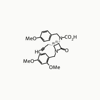 C#CC[C@@H]1[C@H](N(Cc2ccc(OC)cc2)C(=O)O)C(=O)N1Cc1ccc(OC)cc1OC